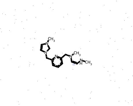 CN/C=C\N(C)Cc1cccc(CN2C=CN(C)C2)n1